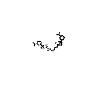 C=C(C)c1cccc(C(C)(C)NC(=O)OC/C=C\COC(=O)NC(C)(C)c2cccc(C(=C)C)c2)c1